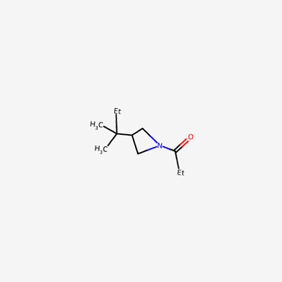 CCC(=O)N1CC(C(C)(C)CC)C1